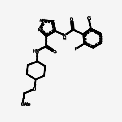 COCOC1CCC(NC(=O)c2n[nH]cc2NC(=O)c2c(F)cccc2Cl)CC1